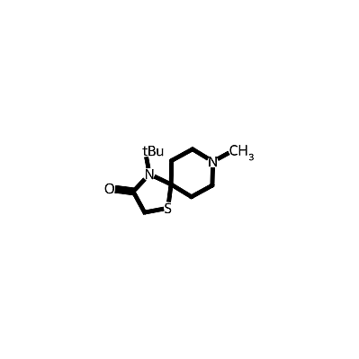 CN1CCC2(CC1)SCC(=O)N2C(C)(C)C